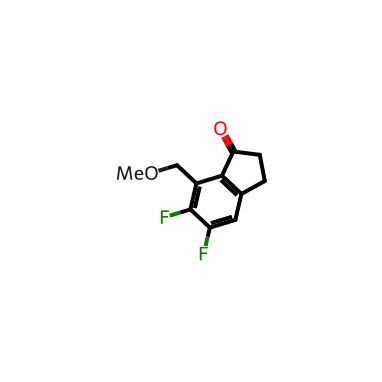 COCc1c(F)c(F)cc2c1C(=O)CC2